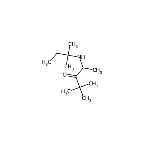 CCC(C)(C)NC(C)C(=O)C(C)(C)C